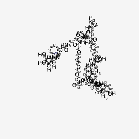 CC(C)[C@H](NC(=O)[C@@H](CCCCNC(=O)COC1CCCCC/C(N[C@@H]2O[C@H](CO)[C@H](O)[C@H](O)[C@H]2O)=C\1N=N)NC(=O)CCOCCOCCOCCOCCN1C(=O)C=CC1=O)C(=O)N[C@@H](CCCNC(N)=O)C(=O)Nc1ccc(COC(=O)N[C@@H](CO)C(=O)Nc2ccc3c(c2)[C@@]2(C)CCC[C@](C)(C(=O)NC(=O)[C@@]4(C)CCC[C@]5(C)c6cc(O)ccc6CC[C@@H]45)[C@@H]2CC3)cc1